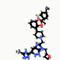 C[C@]1(c2ccc(C#N)cc2F)Oc2cccc(C3CCN(Cc4nc5cc(-c6nnc(C(F)(F)F)[nH]6)nnc5n4C[C@@H]4CCO4)CC3)c2O1